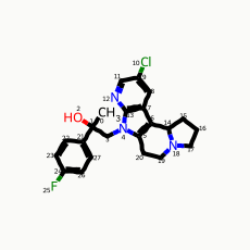 CC(O)(Cn1c2c(c3cc(Cl)cnc31)C1CCCN1CC2)c1ccc(F)cc1